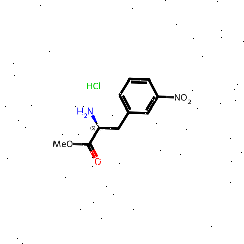 COC(=O)[C@@H](N)Cc1cccc([N+](=O)[O-])c1.Cl